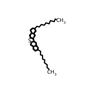 CCCCCCCCCCc1ccc2cc3sc4cc5ccc(CCCCCCCCCC)cc5cc4c3cc2c1